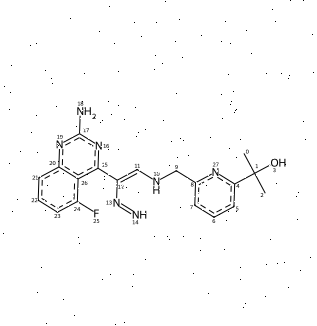 CC(C)(O)c1cccc(CN/C=C(\N=N)c2nc(N)nc3cccc(F)c23)n1